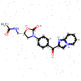 CC(=O)NC[C@H]1CN(c2ccc(C(=O)c3cn4ccccc4n3)cc2)C(=O)O1